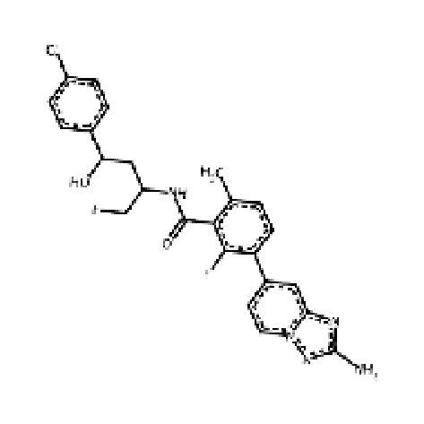 Cc1ccc(-c2ccn3nc(N)nc3c2)c(F)c1C(=O)NC(CF)CC(O)c1ccc(Cl)cc1